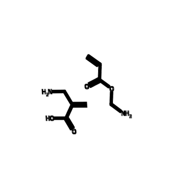 C=C(CN)C(=O)O.C=CC(=O)OCN